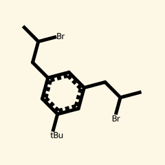 CC(Br)Cc1cc(CC(C)Br)cc(C(C)(C)C)c1